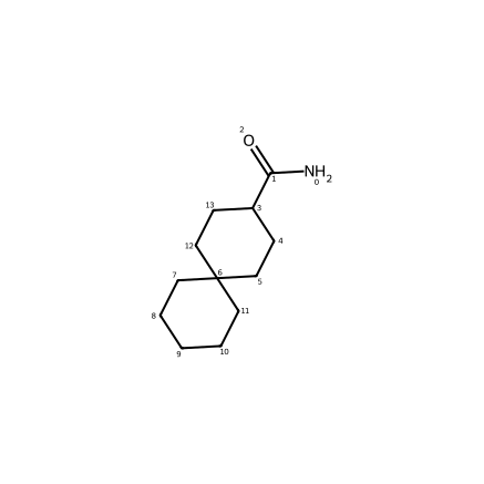 NC(=O)C1CCC2(CCCCC2)CC1